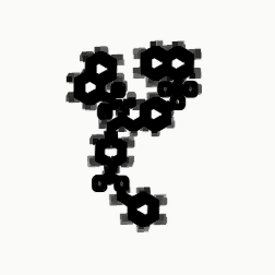 CN(C(Cc1ccc(OS(=O)(=O)c2cccc3ccccc23)cc1)CN1CCN(C(=O)OCc2ccccc2)CC1)S(=O)(=O)c1cccc2ccccc12